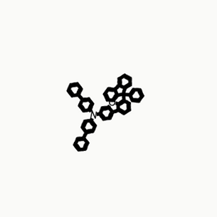 c1ccc(-c2ccc(N(c3ccc(-c4ccccc4)cc3)c3ccc4c(c3)oc3c(C5(c6ccccc6)c6ccccc6-c6ccccc65)cccc34)cc2)cc1